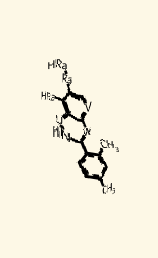 Cc1ccc([C]2=[W][C]3=[V][CH]=[C]([Ra][RaH])[C]([RaH])=[C]3[U][NH]2)c(C)c1